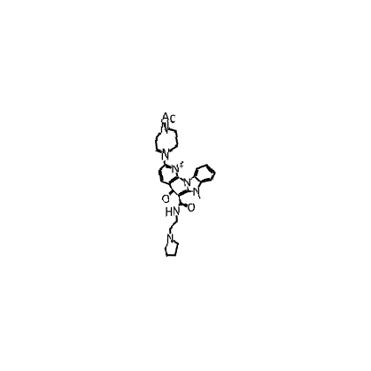 CC(=O)N1CCN(c2ccc3c(=O)c(C(=O)NCCN4CCCC4)c4n(C)c5ccccc5n4c3[n+]2C)CC1